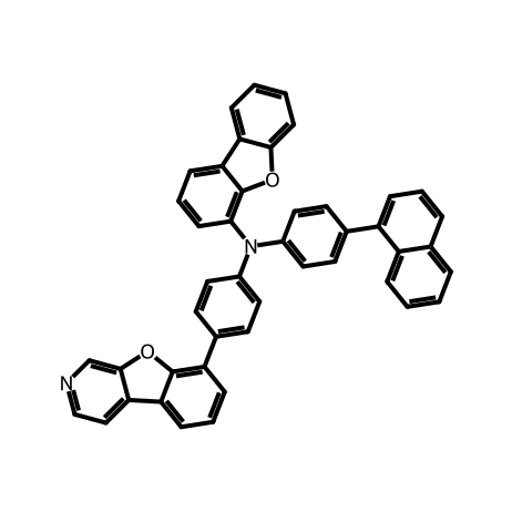 c1ccc2c(-c3ccc(N(c4ccc(-c5cccc6c5oc5cnccc56)cc4)c4cccc5c4oc4ccccc45)cc3)cccc2c1